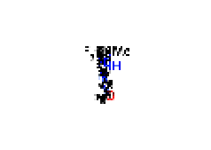 CNc1nc(Nc2cn(C3CCN(C(=O)C4CC4)CC3)nc2C)ncc1C(F)(F)F